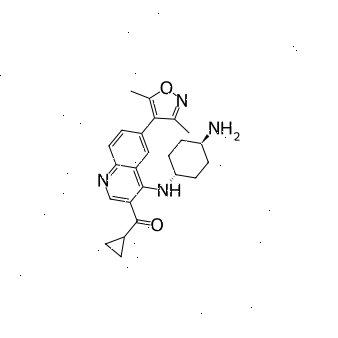 Cc1noc(C)c1-c1ccc2ncc(C(=O)C3CC3)c(N[C@H]3CC[C@H](N)CC3)c2c1